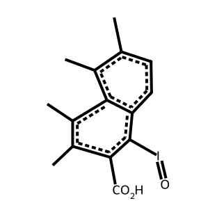 Cc1ccc2c(I=O)c(C(=O)O)c(C)c(C)c2c1C